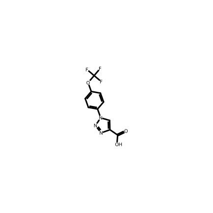 O=C(O)c1cn(-c2ccc(OC(F)(F)F)cc2)nn1